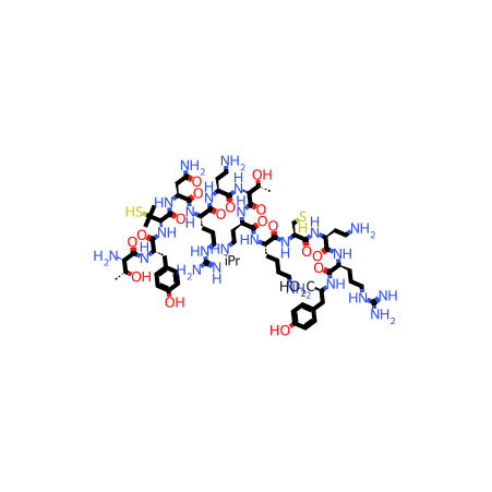 CC(C)NCC[C@@H](NC(=O)[C@@H](NC(=O)[C@H](CCN)NC(=O)[C@H](CCCNC(=N)N)NC(=O)[C@H](CC(N)=O)NC(=O)[C@@H](NC(=O)[C@H](Cc1ccc(O)cc1)NC(=O)[C@@H](N)[C@@H](C)O)C(C)(C)S)[C@@H](C)O)C(=O)N[C@@H](CCCCN)C(=O)N[C@@H](CS)C(=O)N[C@@H](CCN)C(=O)N[C@@H](CCCNC(=N)N)C(=O)N[C@@H](Cc1ccc(O)cc1)C(=O)O